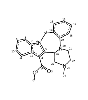 COC(=O)c1c2n(c3ccccc13)Cc1ccccc1N1CCN(C)CC21